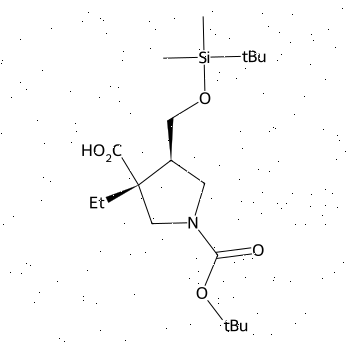 CC[C@]1(C(=O)O)CN(C(=O)OC(C)(C)C)C[C@@H]1CO[Si](C)(C)C(C)(C)C